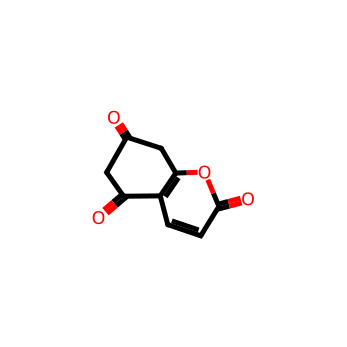 O=C1CC(=O)c2ccc(=O)oc2C1